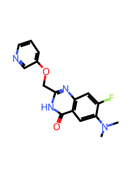 CN(C)c1cc2c(=O)[nH]c(COc3cccnc3)nc2cc1F